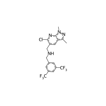 Cc1nn(C)c2nc(Cl)c(CNCc3cc(C(F)(F)F)cc(C(F)(F)F)c3)cc12